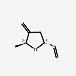 C=C[C@H]1CC(=C)[C@H](C)O1